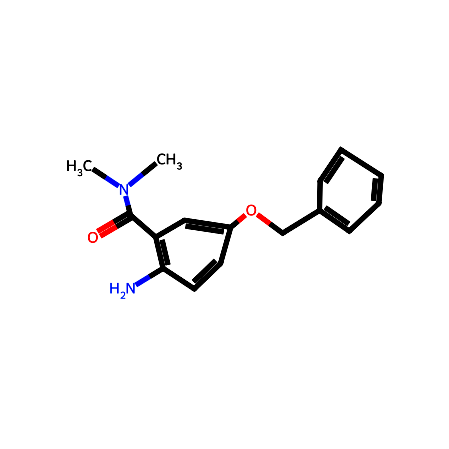 CN(C)C(=O)c1cc(OCc2ccccc2)ccc1N